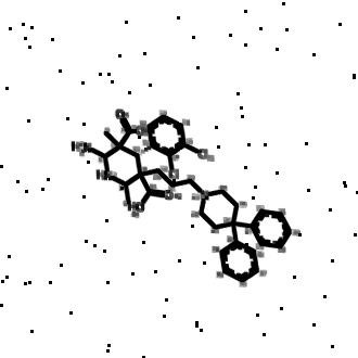 CC1NC(N)C(C)(C(=O)O)[C@H](c2cccc(Cl)c2Cl)C1(CCCN1CCC(c2ccccc2)(c2ccccc2)CC1)C(=O)O